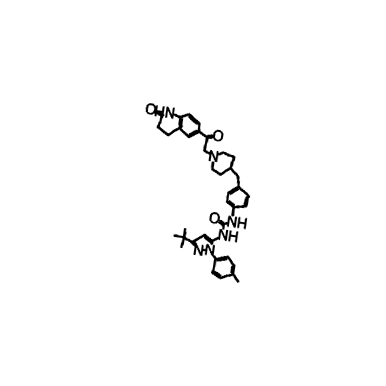 Cc1ccc(-n2nc(C(C)(C)C)cc2NC(=O)Nc2ccc(CC3CCN(CC(=O)c4ccc5c(c4)CCC(=O)N5)CC3)cc2)cc1